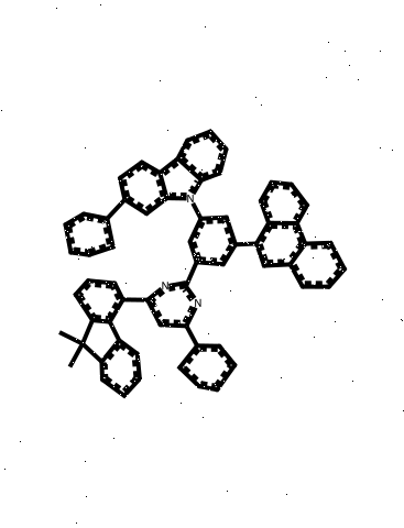 CC1(C)c2ccccc2-c2c(-c3cc(-c4ccccc4)nc(-c4cc(-c5cc6ccccc6c6ccccc56)cc(-n5c6ccccc6c6ccc(-c7ccccc7)cc65)c4)n3)cccc21